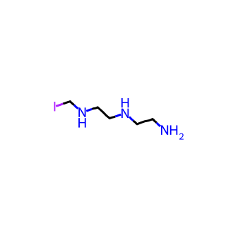 NCCNCCNCI